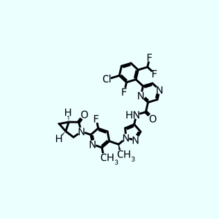 Cc1nc(N2C[C@H]3C[C@H]3C2=O)c(F)cc1[C@H](C)n1cc(NC(=O)c2cncc(-c3c(C(F)F)ccc(Cl)c3F)n2)cn1